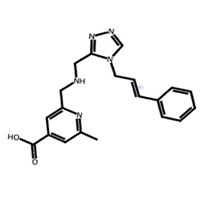 Cc1cc(C(=O)O)cc(CNCc2nncn2C/C=C/c2ccccc2)n1